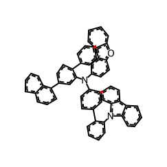 c1ccc(-c2ccc(-c3cccc4ccccc34)cc2N(c2ccc(-c3ccccc3-n3c4ccccc4c4ccccc43)cc2)c2ccc3oc4ccccc4c3c2)cc1